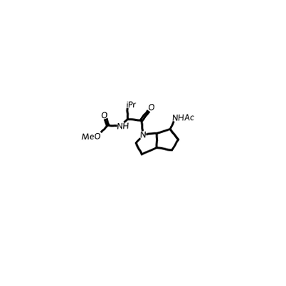 COC(=O)NC(C(=O)N1CCC2CCC(NC(C)=O)C21)C(C)C